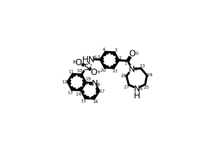 O=C(c1ccc(NS(=O)(=O)c2cccc3cccnc23)cc1)N1CCCNCC1